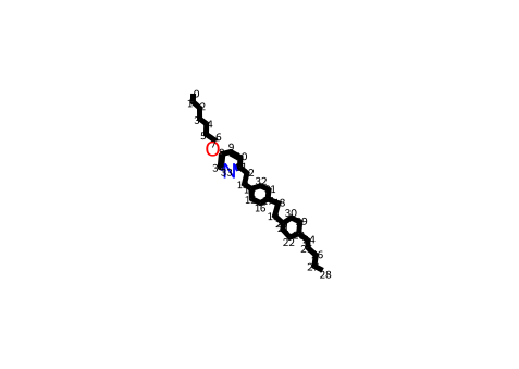 CCCCCCCOc1ccc(CCC2CCC(CCC3CCC(CCCCC)CC3)CC2)nc1